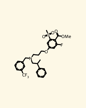 COC(=O)c1c(F)cc(OCCCN(Cc2cccc(C(F)(F)F)c2)CC(C)c2ccccc2)cc1S(C)(=O)=O